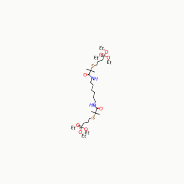 CCO[Si](CCCSC(C)(C)C(=O)NCCCCCCNC(=O)C(C)(C)SCCC[Si](OCC)(OCC)OCC)(OCC)OCC